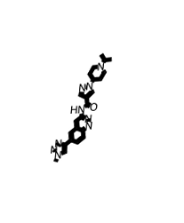 CC(C)N1CCC(n2cc(C(=O)Nc3cc4cc(-c5cn(C)nn5)ccc4nn3)cn2)CC1